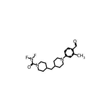 Cc1cc(N2CCC(CC3CCN(C(=O)N(F)F)CC3)CC2)ccc1C=O